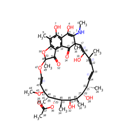 CNC1=C(O)c2c(O)c(C)c3c4c2C(=O)C1(C)/C=C(O)/C(C)=C\C=C\[C@H](C)[C@H](O)[C@@H](C)[C@@H](O)[C@@H](C)[C@H](OC(C)=O)[C@H](C)[C@@H](OC)/C=C/O[C@@](C)(O3)C4=O